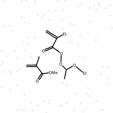 C=C(C)C(=O)OC.C=C(CC)C(=O)OOC(C)OCC